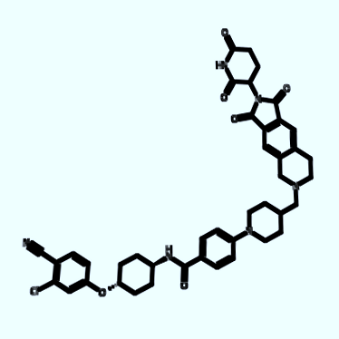 N#Cc1ccc(O[C@H]2CC[C@H](NC(=O)c3ccc(N4CCC(CN5CCc6cc7c(cc6C5)C(=O)N(C5CCC(=O)NC5=O)C7=O)CC4)cc3)CC2)cc1Cl